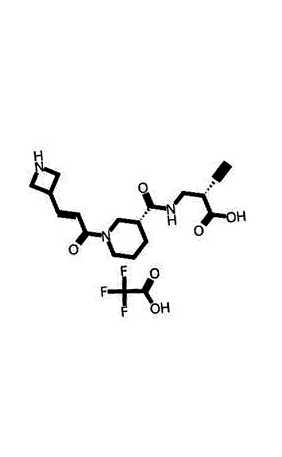 C#C[C@@H](CNC(=O)[C@@H]1CCCN(C(=O)/C=C/C2CNC2)C1)C(=O)O.O=C(O)C(F)(F)F